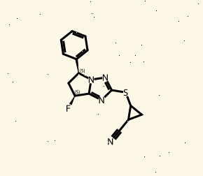 N#CC1CC1Sc1nc2n(n1)[C@H](c1ccccc1)C[C@@H]2F